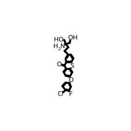 NC(CO)(CO)CCc1ccc2sc3cc(Oc4ccc(Cl)c(F)c4)ccc3c(=O)c2c1